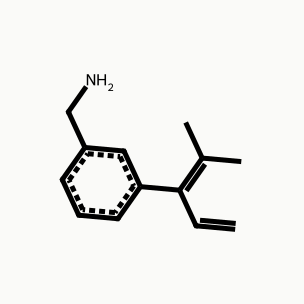 C=CC(=C(C)C)c1cccc(CN)c1